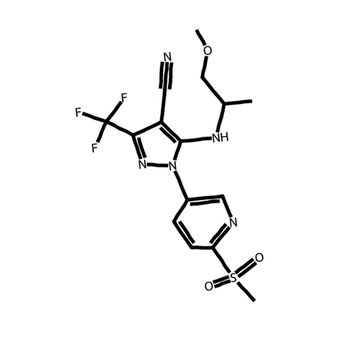 COCC(C)Nc1c(C#N)c(C(F)(F)F)nn1-c1ccc(S(C)(=O)=O)nc1